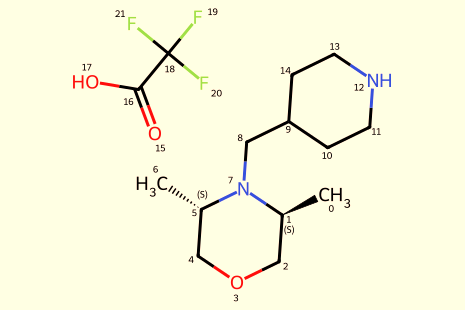 C[C@H]1COC[C@H](C)N1CC1CCNCC1.O=C(O)C(F)(F)F